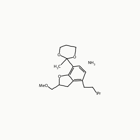 COCC1Cc2c(CCC(C)C)ccc(C3(C)OCCCO3)c2O1.N